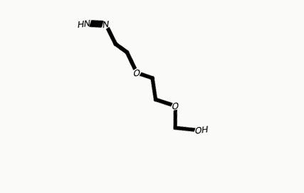 N=NCCOCCOCO